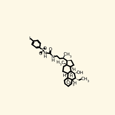 CC[C@H]1[C@@H](O)[C@@H]2[C@H](CC[C@]3(C)[C@@H]([C@H](C)CCNC(=O)NS(=O)(=O)c4ccc(I)cc4)CC[C@@H]23)[C@@]2(C)CCCC[C@@H]12